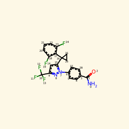 NC(=O)c1ccc(-n2nc(C(F)(F)F)cc2C2(c3c(F)cccc3F)CC2)cc1